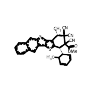 COC(=O)C1(C#N)[C@H](C2C=CC=CC2C)c2sc3c(sc4cc5ccccc5cc43)c2[C@H](C)C1(C#N)C#N